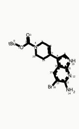 CC(C)(C)OC(=O)N1CC=C(c2c[nH]c3nc(N)c(Br)cc23)CC1